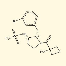 CS(=O)(=O)N[C@H]1CCN(C(=O)C2(O)CCC2)[C@H]1Cc1cccc(Br)c1